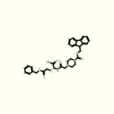 O=C(CN1CCN(C(=O)OCC2c3ccccc3-c3ccccc32)CC1)N[C@H](CCC(=O)OCc1ccccc1)C(=O)O